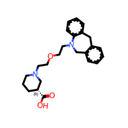 O=C(O)[C@@H]1CCCN(CCOCCN2Cc3ccccc3Cc3ccccc32)C1